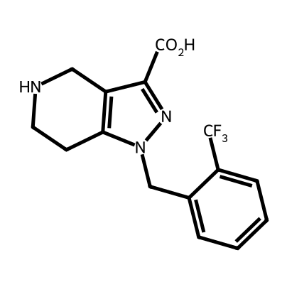 O=C(O)c1nn(Cc2ccccc2C(F)(F)F)c2c1CNCC2